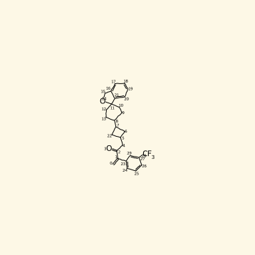 C=C(C(=O)CC1CC(C2CCC3(CC2)OCc2ccccc23)C1)c1cccc(C(F)(F)F)c1